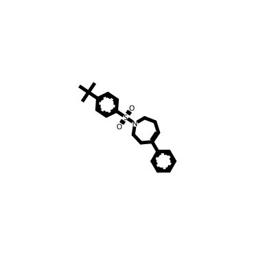 CC(C)(C)c1ccc(S(=O)(=O)N2CCC=C(c3ccccc3)CC2)cc1